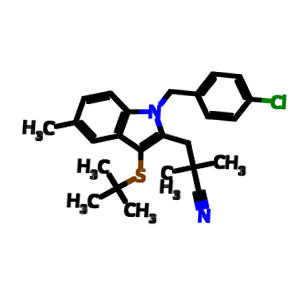 Cc1ccc2c(c1)c(SC(C)(C)C)c(CC(C)(C)C#N)n2Cc1ccc(Cl)cc1